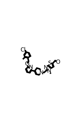 Cc1cc(Cl)ccc1COc1cccc(C2=CCN(Cc3nc4sc(C=O)cc4n3C)CC2)n1